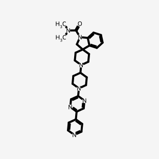 CN(C)C(=O)N1CC2(CCN(C3CCN(c4cnc(-c5ccncc5)cn4)CC3)CC2)c2ccccc21